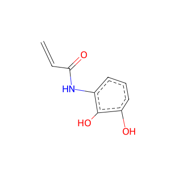 C=CC(=O)Nc1cccc(O)c1O